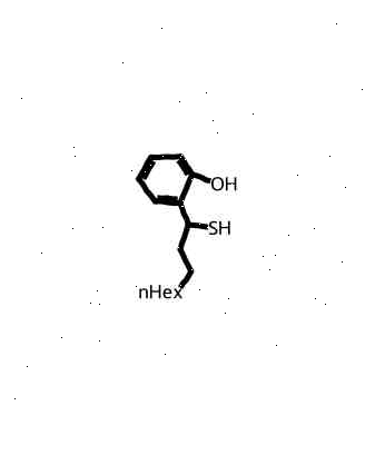 CCCCCCCCC(S)c1ccccc1O